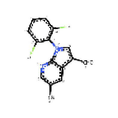 N#Cc1cnc2c(c1)c(C=O)cn2-c1c(F)[c]ccc1F